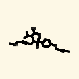 CC#CCOc1ccc(S(=O)(=O)N(CC#CCNC)C(C(=O)O)C(C)C)cc1